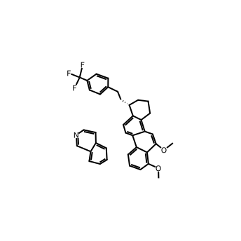 COc1cccc2c1c(OC)cc1c3c(ccc12)[C@H](CCc1ccc(C(F)(F)F)cc1)CCC3.c1ccc2cnccc2c1